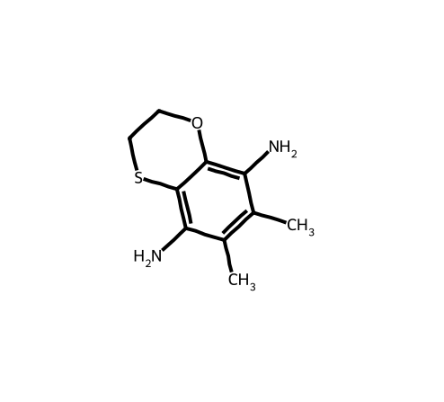 Cc1c(C)c(N)c2c(c1N)OCCS2